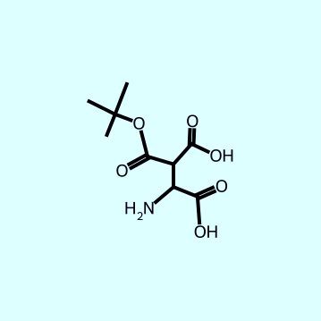 CC(C)(C)OC(=O)C(C(=O)O)C(N)C(=O)O